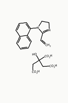 C=CC1=NCCN1c1cccc2ccccc12.O=C(O)CC(O)(CC(=O)O)C(=O)O